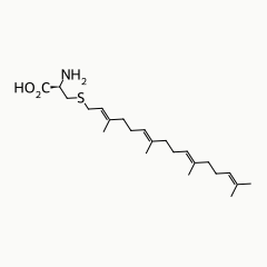 CC(C)=CCC/C(C)=C/CC/C(C)=C/CC/C(C)=C/CSC[C@H](N)C(=O)O